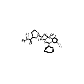 CCN(CC)C(=O)C1CCCN(C(=S)NC2N=C(c3ccccc3)c3cc(Cl)ccc3N(C)C2=O)C1